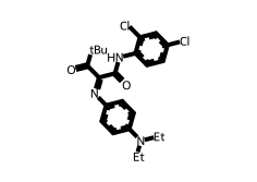 CCN(CC)c1ccc(/N=C(\C(=O)Nc2ccc(Cl)cc2Cl)C(=O)C(C)(C)C)cc1